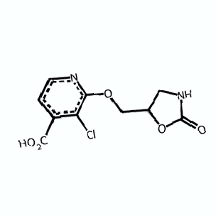 O=C1NCC(COc2nccc(C(=O)O)c2Cl)O1